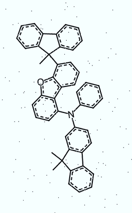 CC1(C)c2ccccc2-c2ccc(N(c3ccccc3)c3cccc4oc5c(C6(C)c7ccccc7-c7ccccc76)cccc5c34)cc21